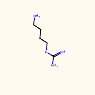 N=C(N)[N]CCCCN